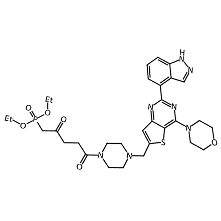 CCOP(=O)(CC(=O)CCC(=O)N1CCN(Cc2cc3nc(-c4cccc5[nH]ncc45)nc(N4CCOCC4)c3s2)CC1)OCC